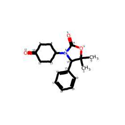 CC1(C)OC(=O)N(C2CCC(=O)CC2)C1c1ccccc1